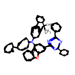 CC1(C)c2ccccc2-c2ccc(N(c3ccc(-c4ccccc4)cc3)c3cc(-c4nc(-c5ccccc5)nc(-c5ccccc5)n4)cc4oc5ccccc5c34)cc21